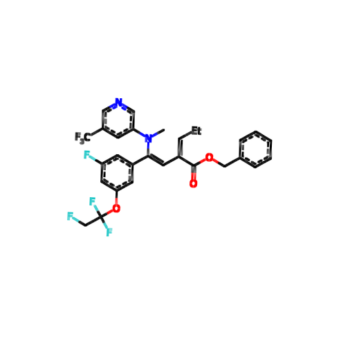 CC/C=C(/C=C(/c1cc(F)cc(OC(F)(F)CF)c1)N(C)c1cncc(C(F)(F)F)c1)C(=O)OCc1ccccc1